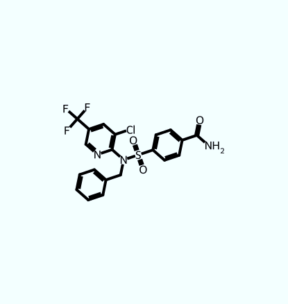 NC(=O)c1ccc(S(=O)(=O)N(Cc2ccccc2)c2ncc(C(F)(F)F)cc2Cl)cc1